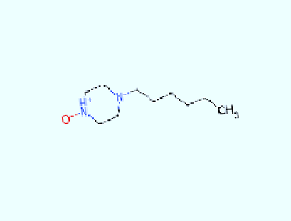 CCCCCCN1CC[NH+]([O-])CC1